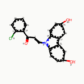 O=C(C=Cn1c2ccc(O)cc2c2cc(O)ccc21)c1ccccc1Cl